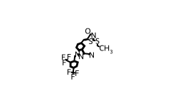 CCSC1=NC(=O)C(=Cc2ccc3c(c2)c(C#N)nn3Cc2ccc(C(F)(F)F)cc2C(F)(F)F)S1